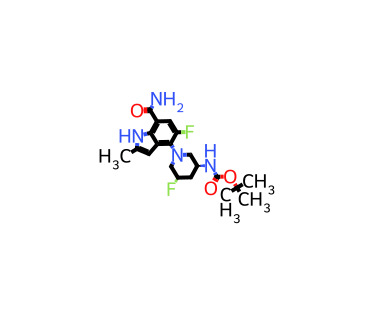 Cc1cc2c(N3C[C@H](F)C[C@H](NC(=O)OC(C)(C)C)C3)c(F)cc(C(N)=O)c2[nH]1